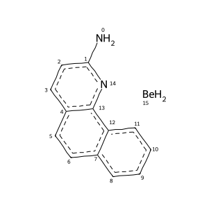 Nc1ccc2ccc3ccccc3c2n1.[BeH2]